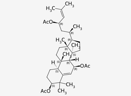 CC(=O)O[C@H]1C=C2[C@@H](CC[C@H](OC(C)=O)C2(C)C)[C@]2(C)CC[C@]3(C)[C@@H]([C@H](C)C[C@H](C=C(C)C)OC(C)=O)CC[C@@]3(C)[C@H]12